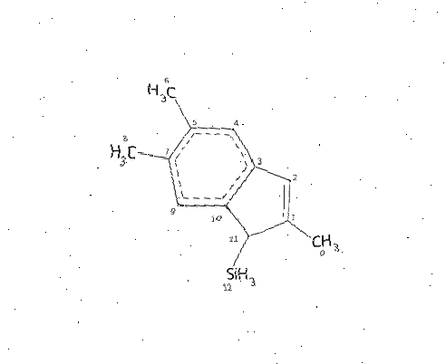 CC1=Cc2cc(C)c(C)cc2C1[SiH3]